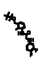 Cc1c(CO[Si](C)(C)C(C)(C)C)cccc1NC(=O)CNc1ccc(F)c(F)c1